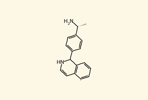 C[C@@H](N)c1ccc(C2NC=Cc3[c]cccc32)cc1